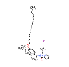 CCCCCCCCCCCCCCCCOc1ccc(C(C)NC(=O)c2cccc[n+]2CCC)cc1C(C)(C)C.[I-]